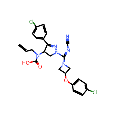 C=CCN(C(=O)O)C1CN(C(=NC#N)N2CC(Oc3ccc(Cl)cc3)C2)N=C1c1ccc(Cl)cc1